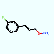 NOCC=Cc1cccc(F)c1